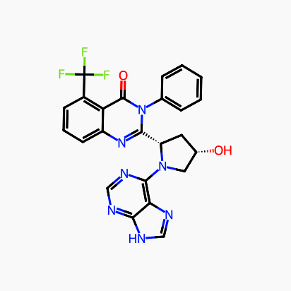 O=c1c2c(C(F)(F)F)cccc2nc([C@@H]2C[C@H](O)CN2c2ncnc3[nH]cnc23)n1-c1ccccc1